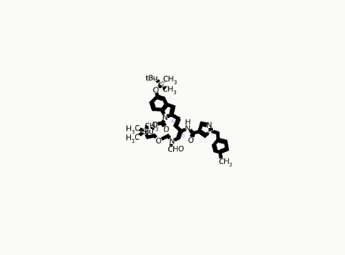 Cc1ccc(Cn2cc(C(=O)NC(/C=C/c3cc4cc(O[Si](C)(C)C(C)(C)C)ccc4n3C(=O)OC(C)(C)C)=C/N(C=O)COCC[Si](C)(C)C)cn2)cc1